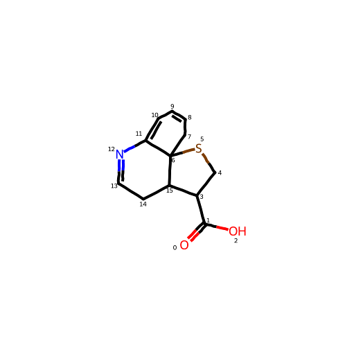 O=C(O)C1CSC23CC=CC=C2N=CCC13